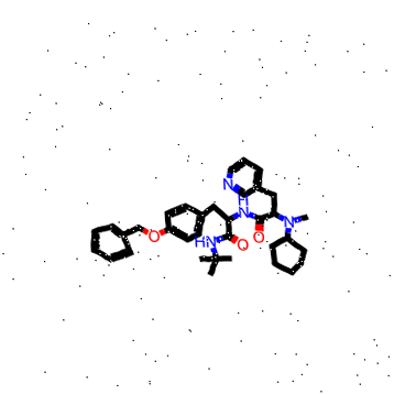 CN(C1CCCCC1)C(Cc1cccnc1)C(=O)NC(Cc1ccc(OCc2ccccc2)cc1)C(=O)NC(C)(C)C